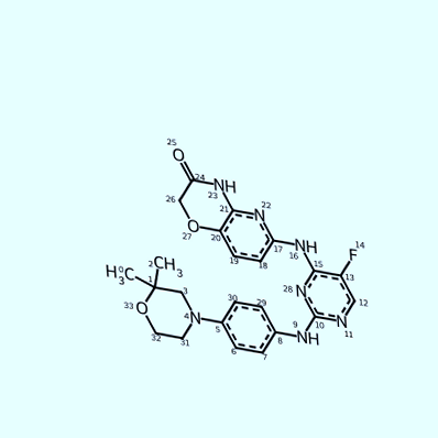 CC1(C)CN(c2ccc(Nc3ncc(F)c(Nc4ccc5c(n4)NC(=O)CO5)n3)cc2)CCO1